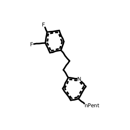 CCCCCc1ccc(CCc2ccc(F)c(F)c2)nc1